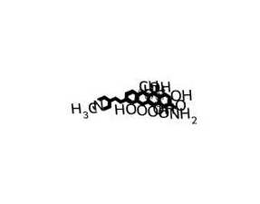 C[C@H]1c2ccc(CCC3CCN(C)CC3)c(O)c2C(=O)C2=C(O)[C@]3(O)C(=O)C(C(N)=O)=C(O)C[C@@H]3[C@@H](O)[C@@H]21